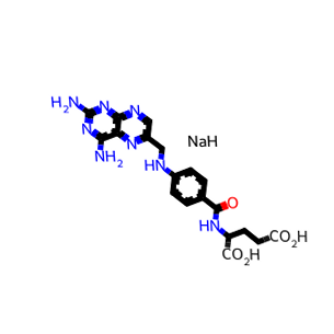 Nc1nc(N)c2nc(CNc3ccc(C(=O)NC(CCC(=O)O)C(=O)O)cc3)cnc2n1.[NaH]